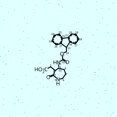 O=C(O)CC1C(=O)NCCC[C@@H]1NC(=O)OCC1c2ccccc2-c2ccccc21